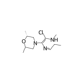 CC/C=N\C(=C(\Cl)NC)N1CC(C)O[C@H](C)C1